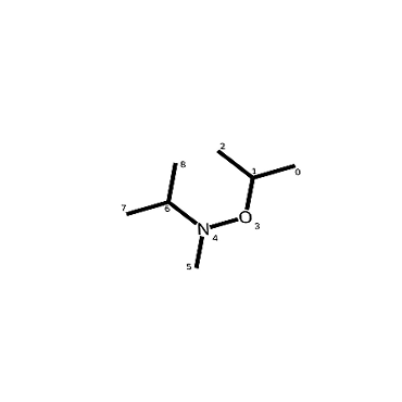 CC(C)ON(C)C(C)C